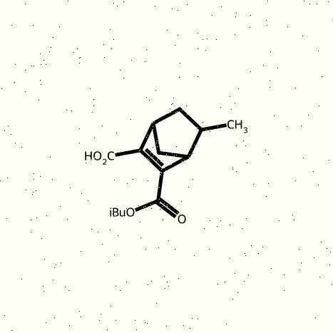 CC(C)COC(=O)C1=C(C(=O)O)C2CC(C)C1C2